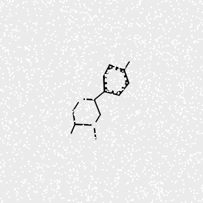 CC(C)(C)C1COC(c2ccc(N)cc2)CN1C(=O)O